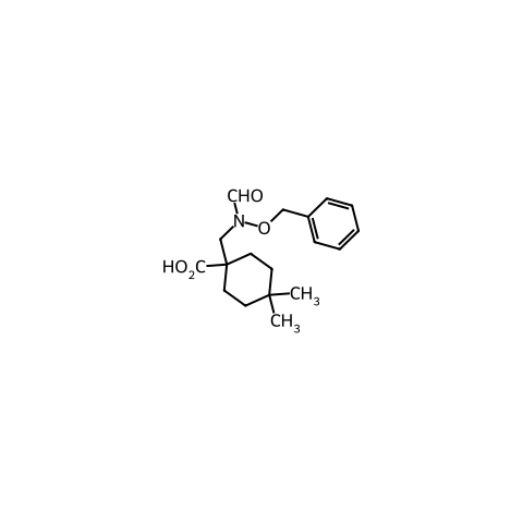 CC1(C)CCC(CN(C=O)OCc2ccccc2)(C(=O)O)CC1